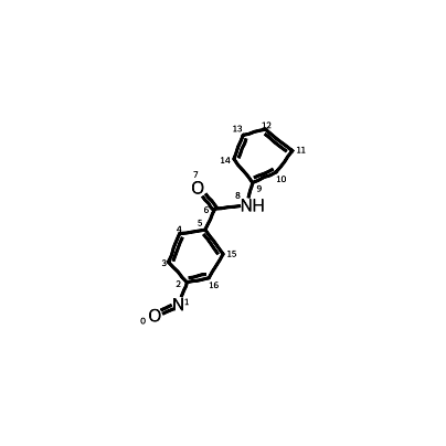 O=Nc1ccc(C(=O)Nc2ccccc2)cc1